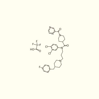 O=C(O)C(F)(F)F.O=C(c1cnccn1)N1CCC(C(=O)N(CCCN2CCC(Cc3ccc(F)cc3)CC2)c2ccc(Cl)c(Cl)c2)CC1